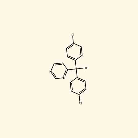 OC(c1ccc(Cl)cc1)(c1ccc(Cl)cc1)c1ccncn1